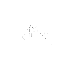 CN(C)C/C=C/C(=O)N1CCc2c(oc3ncnc(Nc4ccc(F)c(Cl)c4)c23)C1